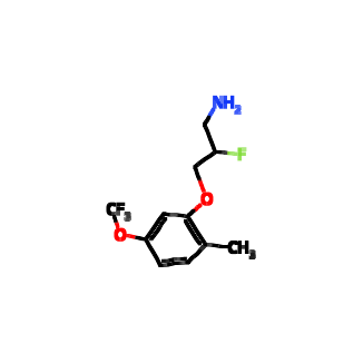 Cc1ccc(OC(F)(F)F)cc1OCC(F)CN